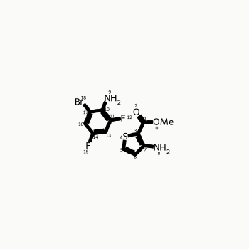 COC(=O)c1sccc1N.Nc1c(F)cc(F)cc1Br